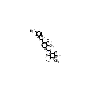 Cc1ccc2nc(-c3ccc(/C=C/c4c(C)c(C)c(C)c(C)c4C)c(C)c3C)sc2c1